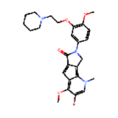 COc1ccc(N2Cc3c(cc4c(OC)c(Br)cn(C)c3-4)C2=O)cc1OCCN1CCCCC1